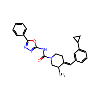 CC1CN(C(=O)Nc2nnc(-c3ccccc3)o2)CC/C1=C\c1cccc(C2CC2)c1